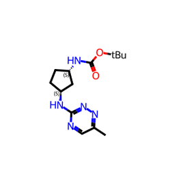 Cc1cnc(N[C@H]2CC[C@H](NC(=O)OC(C)(C)C)C2)nn1